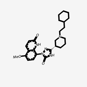 COc1ccc(-n2nc([C@H]3CCCN(CCC4CCCCC4)C3)[nH]c2=O)c2[nH]c(=O)ccc12